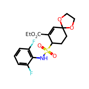 CCOC(=O)C1=CC2(CCC1S(=O)(=O)Nc1c(F)cccc1F)OCCO2